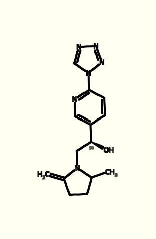 C=C1CCC(C)N1C[C@H](O)c1ccc(-n2cnnn2)nc1